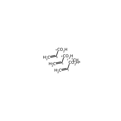 C.C=CC(=O)O.C=CC(=O)O.C=CC(=O)O